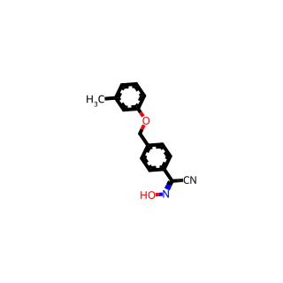 Cc1cccc(OCc2ccc(/C(C#N)=N\O)cc2)c1